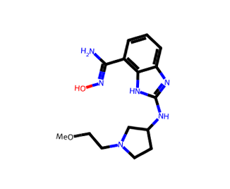 COCCN1CCC(Nc2nc3cccc(C(N)=NO)c3[nH]2)C1